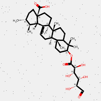 C[C@H]1[C@H](C)CC[C@]2(C(=O)O)CC[C@]3(C)C(=CC[C@@H]4[C@@]5(C)CC[C@H](OC(=O)[C@@H](O)[C@@H](O)[C@H](O)[C@@H](O)C=O)C(C)(C)C5CC[C@]43C)[C@H]12